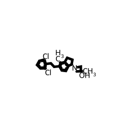 Cc1c(CCc2c(Cl)cccc2Cl)ccc2c1CCC2N1CC(C)(O)C1